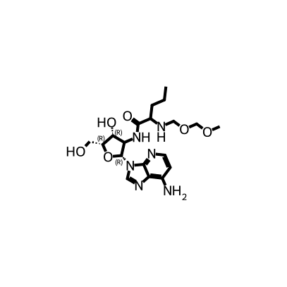 CCCC(NCOCOC)C(=O)NC1[C@@H](O)[C@@H](CO)O[C@H]1n1cnc2c(N)ccnc21